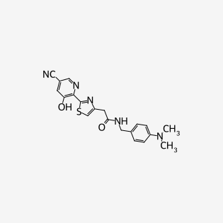 CN(C)c1ccc(CNC(=O)Cc2csc(-c3ncc(C#N)cc3O)n2)cc1